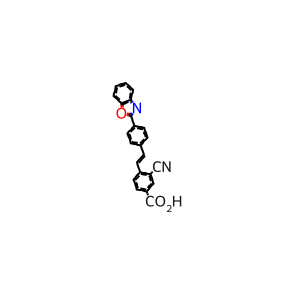 N#Cc1cc(C(=O)O)ccc1C=Cc1ccc(-c2nc3ccccc3o2)cc1